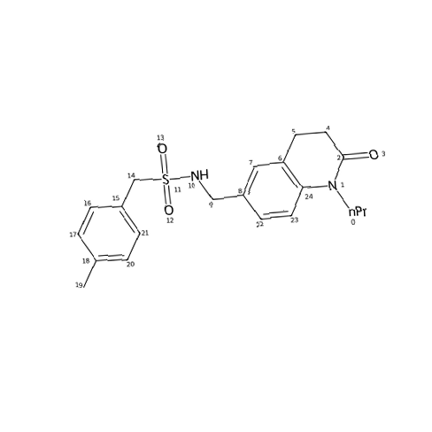 CCCN1C(=O)CCc2cc(CNS(=O)(=O)Cc3ccc(C)cc3)ccc21